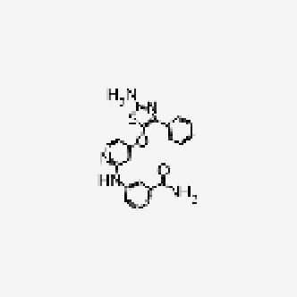 NC(=O)c1cccc(Nc2cc(Oc3sc(N)nc3-c3ccccc3)ccn2)c1